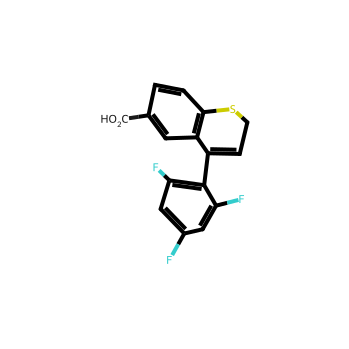 O=C(O)c1ccc2c(c1)C(c1c(F)cc(F)cc1F)=CCS2